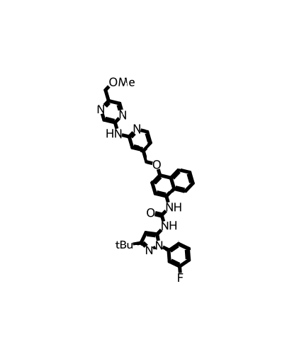 COCc1cnc(Nc2cc(COc3ccc(NC(=O)Nc4cc(C(C)(C)C)nn4-c4cccc(F)c4)c4ccccc34)ccn2)cn1